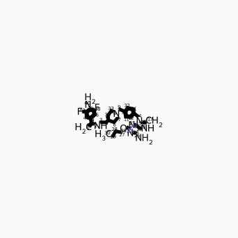 C=C(NCCC1CCN(Cc2ccc(CN3C(=C)NC/C3=N\C(=N/CN)OCCCC)cc2)CC1)c1cc(F)c(N)c(F)c1